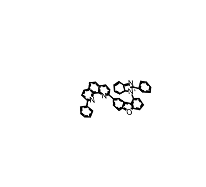 C1=CC2=NC(c3ccccc3)=[N+](c3cccc4oc5ccc(-c6ccc7ccc8ccc(-c9ccccc9)nc8c7n6)cc5c34)C2C=C1